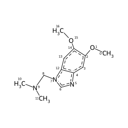 COc1cc2ncn(CN(C)C)c2cc1OC